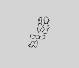 c1ccc2c(c1)Sc1ccccc1C21c2ccccc2-c2ccc(-c3c4ccccc4c(-c4cccc5ccccc45)c4ccccc34)cc21